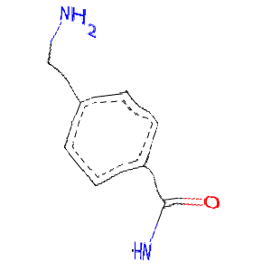 [NH]C(=O)c1ccc(CN)cc1